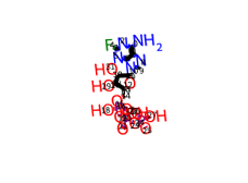 Nc1nc(F)nc2c1ncn2[C@@H]1O[C@H](COP(=O)(O)OP(=O)(O)OP(=O)(O)O)[C@H](O)C1O